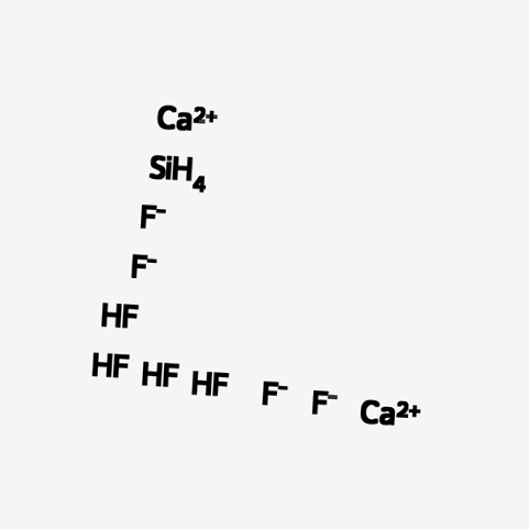 F.F.F.F.[Ca+2].[Ca+2].[F-].[F-].[F-].[F-].[SiH4]